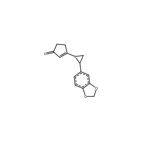 O=C1C=C(N2CC2c2ccc3c(c2)OCO3)CC1